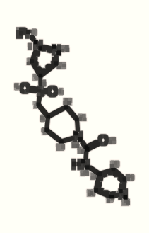 CC(C)n1cc(S(=O)(=O)CC2CCN(C(=O)Nc3ccncc3)CC2)cn1